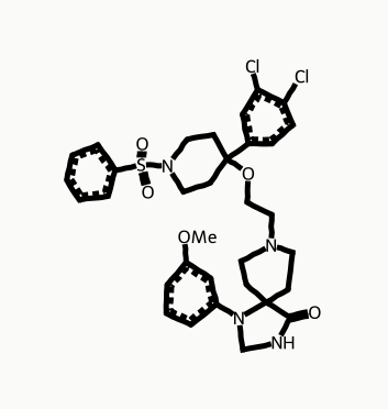 COc1cccc(N2CNC(=O)C23CCN(CCOC2(c4ccc(Cl)c(Cl)c4)CCN(S(=O)(=O)c4ccccc4)CC2)CC3)c1